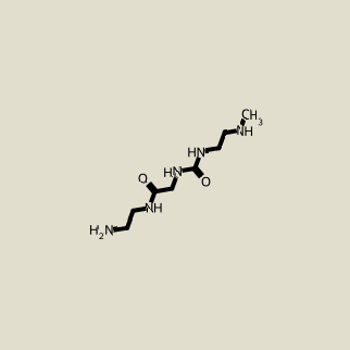 CNCCNC(=O)NCC(=O)NCCN